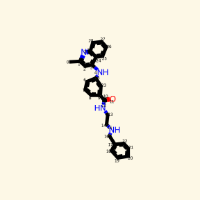 Cc1cc(Nc2cccc(C(=O)NCCNCc3ccccc3)c2)c2ccccc2n1